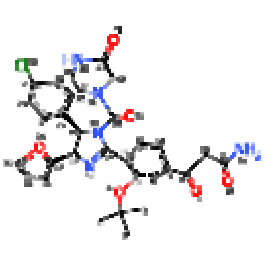 CC(C)(C)Oc1cc(C(=O)CC(N)=O)ccc1C1=N[C@@H](c2ccco2)[C@@H](c2ccc(Cl)cc2)N1C(=O)N1CCNC(=O)C1